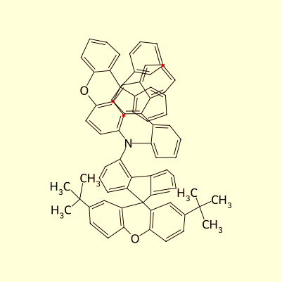 CC(C)(C)c1ccc2c(c1)C1(c3cc(C(C)(C)C)ccc3O2)c2ccccc2-c2c(N(c3ccc4c(c3)C(c3ccccc3)(c3ccccc3)c3ccccc3O4)c3ccccc3-c3cccc4ccccc34)cccc21